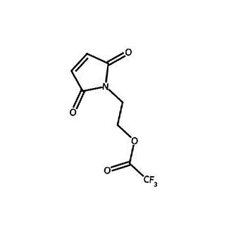 O=C1C=CC(=O)N1CCOC(=O)C(F)(F)F